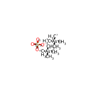 C[As+](C)(C)C.C[As+](C)(C)C.O=S(=O)([O-])[O-]